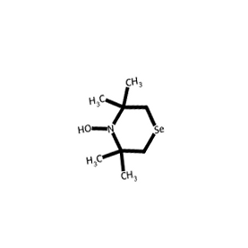 CC1(C)C[Se]CC(C)(C)N1O